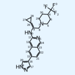 FC(F)(F)C1CCN(CC(Nc2cc3cc(-c4cn[nH]c4)ccc3cn2)=C2CC2)CC1